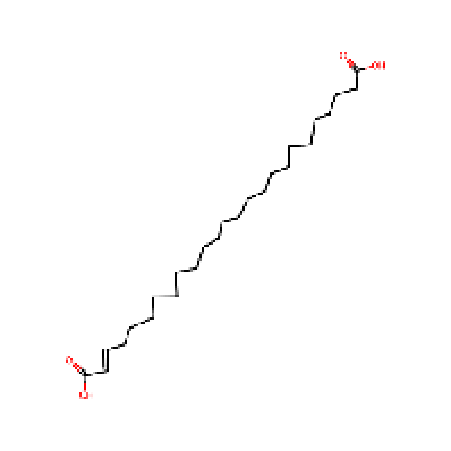 O=C(O)C=CCCCCCCCCCCCCCCCCCCCCCC(=O)O